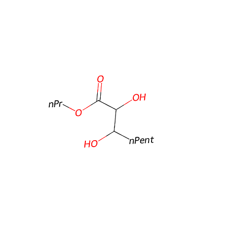 CCCCCC(O)C(O)C(=O)OCCC